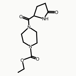 CCOC(=O)N1CCN(C(=O)C2CCC(=O)N2)CC1